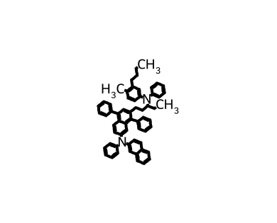 CCCCc1cc(N(c2ccccc2)C(CC)CCc2cc(-c3ccccc3)c3ccc(N(c4ccccc4)c4ccc5ccccc5c4)cc3c2-c2ccccc2)ccc1C